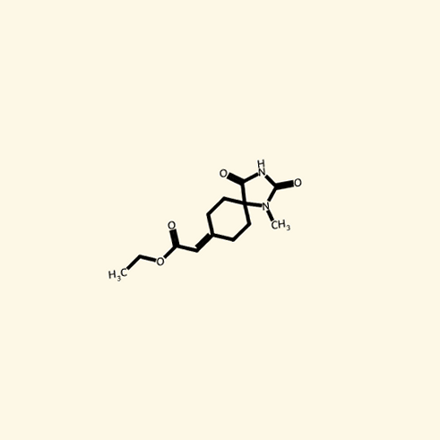 CCOC(=O)C=C1CCC2(CC1)C(=O)NC(=O)N2C